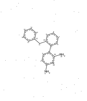 Nc1ccc(-c2ccccc2Cc2ccccc2)c(N)n1